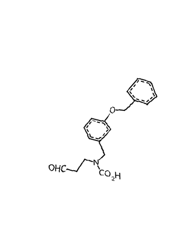 O=CCCN(Cc1cccc(OCc2ccccc2)c1)C(=O)O